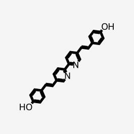 Oc1ccc(/C=C/c2ccc(-c3ccc(/C=C/c4ccc(O)cc4)cn3)nc2)cc1